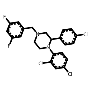 Fc1cc(F)cc(CN2CCN(c3ccc(Cl)cc3Cl)C(c3ccc(Cl)cc3)C2)c1